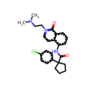 CN(C)CCn1ccc2c(NC(=O)C3(c4ccc(Cl)cc4)CCCC3)cccc2c1=O